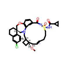 CO[C@H]1/C=C/CCCS(=O)(NC(=O)C2CC2)=NC(=O)c2ccc3c(c2)N(C[C@@H]2CC[C@H]21)C[C@@]1(CCCc2cc(Cl)ccc21)CO3